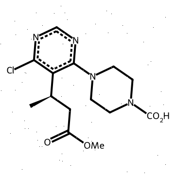 COC(=O)C[C@@H](C)c1c(Cl)ncnc1N1CCN(C(=O)O)CC1